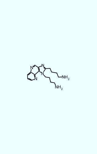 NCCCCc1nc2cnc3cccnc3c2n1CCCCN